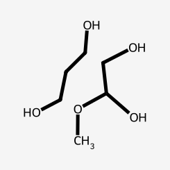 COC(O)CO.OCCCO